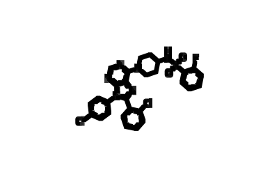 O=S(=O)(NC1CCN(c2ncnc3c2nc(-c2ccccc2Cl)n3-c2ccc(Cl)cc2)CC1)c1ccccc1F